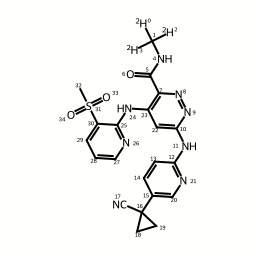 [2H]C([2H])([2H])NC(=O)c1nnc(Nc2ccc(C3(C#N)CC3)cn2)cc1Nc1ncccc1S(C)(=O)=O